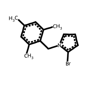 Cc1cc(C)c(Cn2cccc2Br)c(C)c1